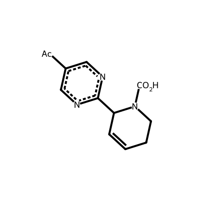 CC(=O)c1cnc(C2C=CCCN2C(=O)O)nc1